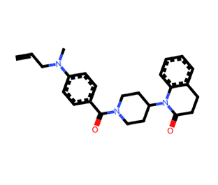 C=CCN(C)c1ccc(C(=O)N2CCC(N3C(=O)CCc4ccccc43)CC2)cc1